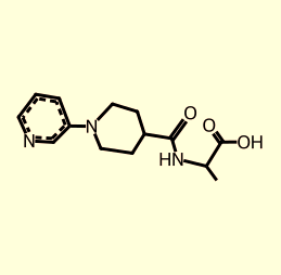 CC(NC(=O)C1CCN(c2cccnc2)CC1)C(=O)O